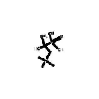 C[N+](C)(C)CC(N)(O)P(=O)(O)O